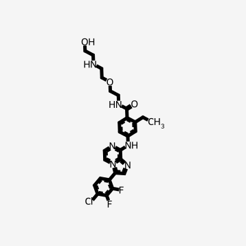 CCc1cc(Nc2nccn3c(-c4ccc(Cl)c(F)c4F)cnc23)ccc1C(=O)NCCOCCNCCO